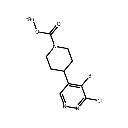 CC(C)(C)OC(=O)N1CCC(c2cnnc(Cl)c2Br)CC1